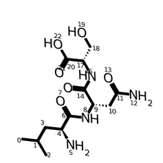 CC(C)C[C@H](N)C(=O)N[C@@H](CC(N)=O)C(=O)N[C@@H](CO)C(=O)O